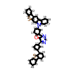 c1cc(-c2ncnc3c2oc2ccc(-n4c5ccccc5c5cc6c(cc54)sc4ccccc46)cc23)cc(-c2cccc3c2sc2ccccc23)c1